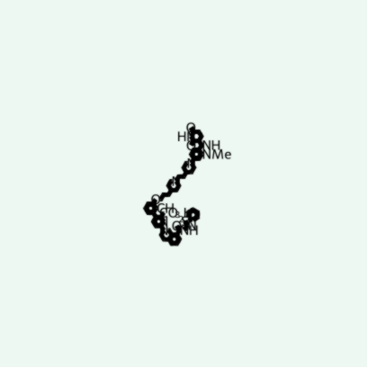 CNc1cc(N2CCC(CCN3CCC(CCCOc4cccc(-c5ccc(N6CCc7cccc(C(=O)Nc8nc9ccccc9s8)c7C6)nc5C(=O)O)c4C)CC3)CC2)ccc1C(=N)C1CCC(=O)NC1=O